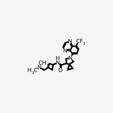 CN(C)CC1CC(NC(=O)C2CN(c3ccc(C(F)(F)F)c4nccnc34)CC23CC3)C1